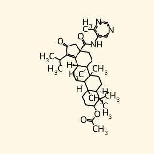 CC(=O)O[C@H]1CC[C@]2(C)[C@H]3CC[C@@H]4C5=C(C(C)C)C(=O)C[C@]5(C(=O)Nc5cncnc5C)CC[C@@]4(C)[C@]3(C)CC[C@H]2C1(C)C